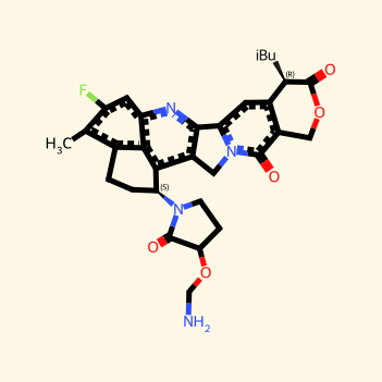 CCC(C)[C@H]1C(=O)OCc2c1cc1n(c2=O)Cc2c-1nc1cc(F)c(C)c3c1c2[C@@H](N1CCC(OCN)C1=O)CC3